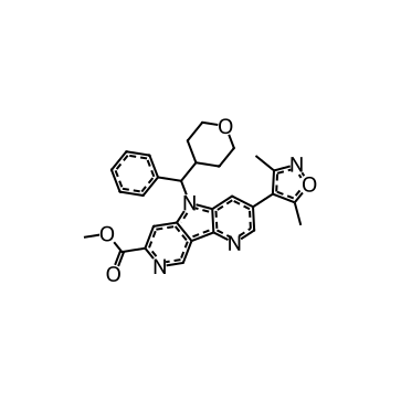 COC(=O)c1cc2c(cn1)c1ncc(-c3c(C)noc3C)cc1n2C(c1ccccc1)C1CCOCC1